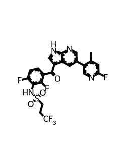 Cc1cc(F)ncc1-c1cnc2[nH]cc(C(=O)c3ccc(F)c(NS(=O)(=O)CCC(F)(F)F)c3F)c2c1